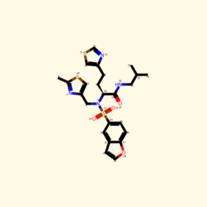 Cc1nc(CN([C@@H](CCc2cscn2)C(=O)NCC(C)C)S(=O)(=O)c2ccc3occc3c2)cs1